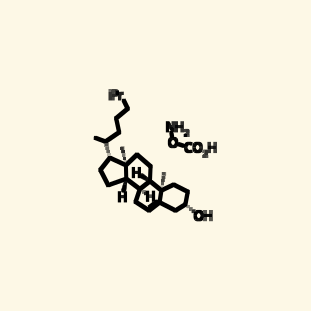 CC(C)CCCC(C)[C@H]1CC[C@H]2[C@@H]3CC=C4C[C@@H](O)CC[C@]4(C)[C@H]3CC[C@]12C.NOC(=O)O